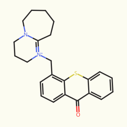 O=c1c2ccccc2sc2c(C[N+]3=C4CCCCCN4CCC3)cccc12